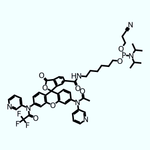 CC(=O)N(c1cccnc1)c1ccc2c(c1)Oc1cc(N(C(=O)C(F)(F)F)c3cccnc3)ccc1C21OC(=O)c2ccc(C(=O)NCCCCCCOP(OCCC#N)N(C(C)C)C(C)C)cc21